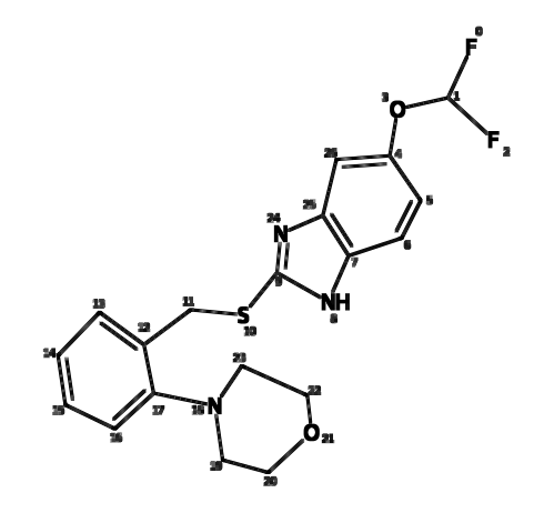 FC(F)Oc1ccc2[nH]c(SCc3ccccc3N3CCOCC3)nc2c1